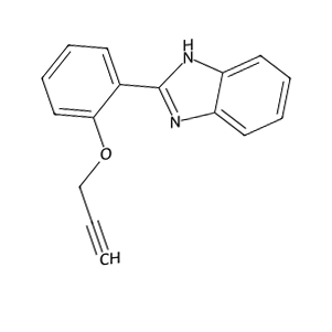 C#CCOc1ccccc1-c1nc2ccccc2[nH]1